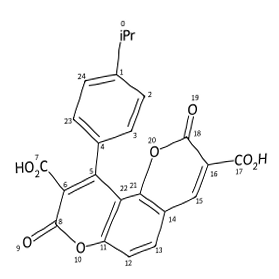 CC(C)c1ccc(-c2c(C(=O)O)c(=O)oc3ccc4cc(C(=O)O)c(=O)oc4c23)cc1